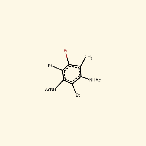 CCc1c(Br)c(C)c(NC(C)=O)c(CC)c1NC(C)=O